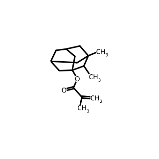 C=C(C)C(=O)OC12CC3CC(CC(C)(C3)C1C)C2